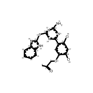 CC(=O)COc1cc(-c2nc(N)nc(Sc3nc4ccccc4[nH]3)n2)c(Cl)cc1Cl